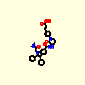 CN(C)C(=O)Cn1c(-c2ccccc2)c(C2CCCCC2)c2ccc(C(=O)NC3CCCN(c4ccc(C=CC(=O)O)cc4)C3=O)cc21